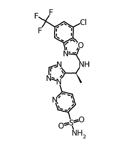 C[C@H](Nc1nc2cc(C(F)(F)F)cc(Cl)c2o1)c1ncnn1-c1ccc(S(N)(=O)=O)cn1